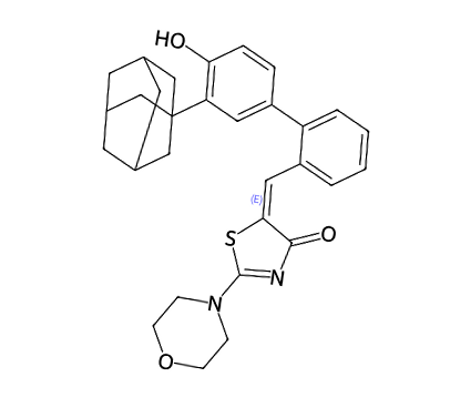 O=C1N=C(N2CCOCC2)S/C1=C/c1ccccc1-c1ccc(O)c(C23CC4CC(CC(C4)C2)C3)c1